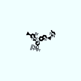 Cc1ccnc([C@H]2C[C@@H]2c2ccc3ccc(N4C[C@@H](O[Si](C(C)C)(C(C)C)C(C)C)C[C@@H]4c4cn5cc(C6CC6)cc(Br)c5n4)cc3n2)n1